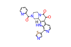 O=C1C(=O)N2CCN(C(=O)c3ccccn3)C[C@@H]2c2[nH]c3c(-c4cncs4)nccc3c21